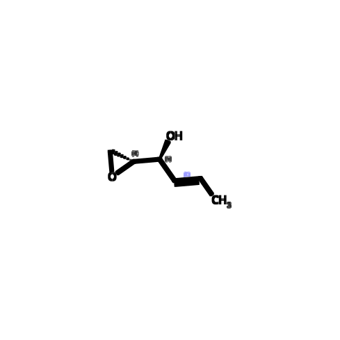 C/C=C/[C@H](O)[C@H]1CO1